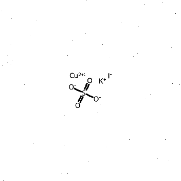 O=S(=O)([O-])[O-].[Cu+2].[I-].[K+]